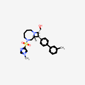 Cc1cccc(-c2ccc([C@@H]3[C@@H](CO)N4CCCCN(S(=O)(=O)c5cn(C)cn5)C[C@@H]34)cc2)c1